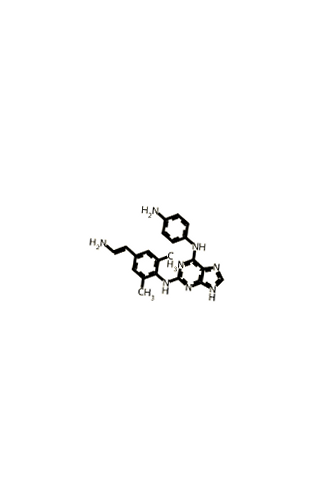 Cc1cc(/C=C/N)cc(C)c1Nc1nc(Nc2ccc(N)cc2)c2nc[nH]c2n1